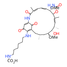 CO[C@H]1C=CC=C(C)C(=O)NC2=CC(=O)C(NCCCCCCNC(=O)O)=C(C[C@@H](C)C[C@H](OC)[C@@H](O)[C@@H](C)C=C(C)[C@@H]1OC(N)=O)C2=O